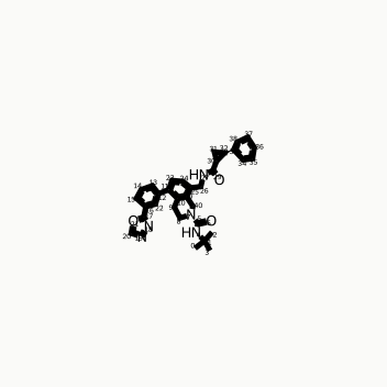 CC(C)(C)NC(=O)N1CCc2c(-c3cccc(-c4nnco4)c3)ccc(CNC(=O)C3C[C@@H]3c3ccccc3)c2C1